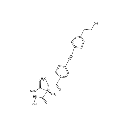 CNC(=O)[C@@](C)(C(=O)NO)N(C)C(=O)c1ccc(C#Cc2ccc(CCO)cc2)cc1